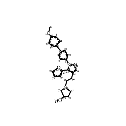 COc1ccc(-c2ccc(-n3ncc(CCN4CCC(O)C4)c3-c3ccco3)cc2)cc1